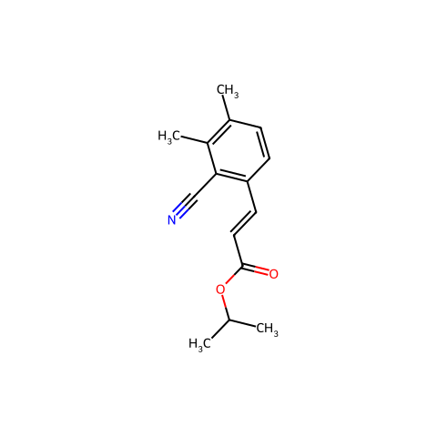 Cc1ccc(C=CC(=O)OC(C)C)c(C#N)c1C